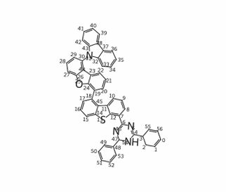 C1=CCC(C2=NC(c3cccc4c3sc3cccc(-c5cccc6c5oc5cccc(-n7c8ccccc8c8ccccc87)c56)c34)=NC(c3ccccc3)N2)C=C1